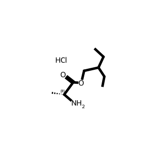 CCC(CC)COC(=O)[C@@H](C)N.Cl